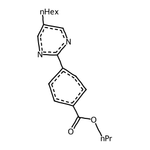 CCCCCCc1cnc(-c2ccc(C(=O)OCCC)cc2)nc1